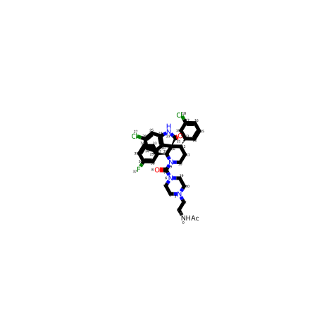 CC(=O)NCCN1CCN(C(=O)N2CC[C@@H](C3C=CC=C(Cl)C3)[C@]3(C(=O)Nc4cc(Cl)ccc43)[C@@H]2c2cccc(F)c2)CC1